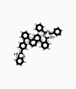 CCCC(/N=C(\N=C\c1ccccc1)c1ccccc1)c1ccccc1-c1cccc2c(-c3ccccc3-c3ccc(C4Nc5ccccc5S4)cc3)cccc12